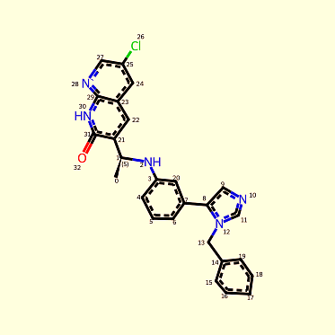 C[C@H](Nc1cccc(-c2cncn2Cc2ccccc2)c1)c1cc2cc(Cl)cnc2[nH]c1=O